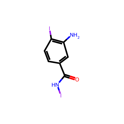 Nc1cc(C(=O)NI)ccc1I